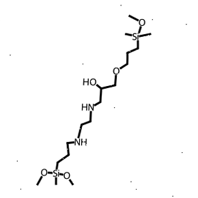 CO[Si](C)(C)CCCOCC(O)CNCCNCCC[Si](C)(OC)OC